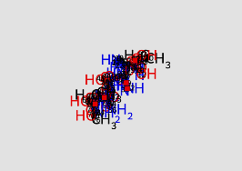 CC(C)C[C@H](NC(=O)[C@H](CC(=O)O)NC(=O)[C@H](Cc1c[nH]cn1)NC(=O)[C@H](CCCNC(=N)N)NC(=O)CNC(=O)[C@H](CC(=O)O)NC(=O)CNC(=O)[C@H](CC(N)=O)NC(=O)[C@@H](NC(=O)[C@H](CC(=O)O)NC(=O)[C@@H](N)[C@@H](C)O)C(C)C)C(=O)O